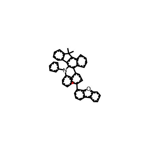 CC1(C)c2ccccc2-c2c(N(c3ccccc3)c3ccccc3)c(-c3ccc(-c4cccc5c4oc4ccccc45)cc3)c3ccccc3c21